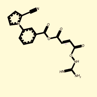 N#Cc1cccn1-c1cccc(C(=O)OC(=O)/C=C/C(=O)ONC(=N)N)c1